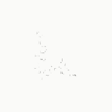 COc1cnc2c(-c3nc4cc(F)c(O[C@@H](C)COC(=O)Nc5ccnc(OCC(C)(C)O)c5)cc4s3)cc(C)cc2n1